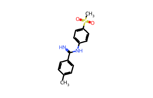 Cc1ccc(C(=N)Nc2ccc(S(C)(=O)=O)cc2)cc1